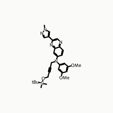 COc1cc(OC)cc(N(CC#CCO[Si](C)(C)C(C)(C)C)c2ccc3ncc(-c4cnn(C)c4)nc3c2)c1